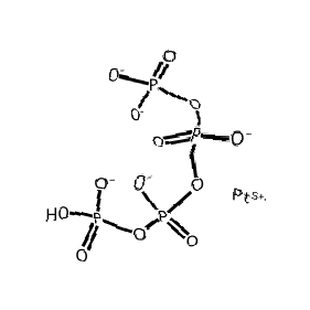 O=P([O-])([O-])OP(=O)([O-])OP(=O)([O-])OP(=O)([O-])O.[Pt+5]